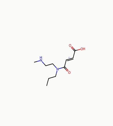 CCCN(CCNC)C(=O)/C=C/C(=O)O